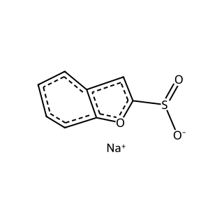 O=S([O-])c1cc2ccccc2o1.[Na+]